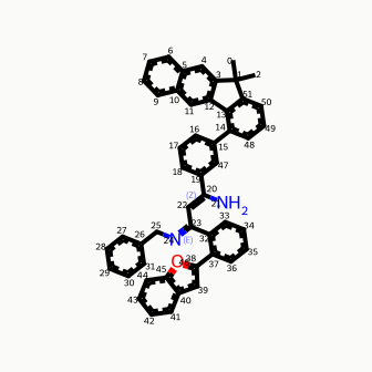 CC1(C)c2cc3ccccc3cc2-c2c(-c3cccc(/C(N)=C/C(=N\Cc4ccccc4)c4ccccc4-c4cc5ccccc5o4)c3)cccc21